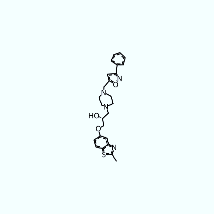 Cc1nc2cc(OC[C@H](O)CN3CCN(Cc4cc(-c5ccccc5)no4)CC3)ccc2s1